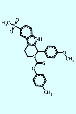 COc1ccc(C2c3[nH]c4ccc(S(C)(=O)=O)cc4c3CCN2C(=S)Oc2ccc(C)cc2)cc1